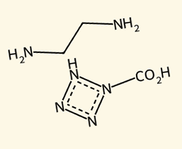 NCCN.O=C(O)n1nn[nH]1